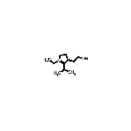 CC[N+]1=C(C(C)C)N(CCO)CC1